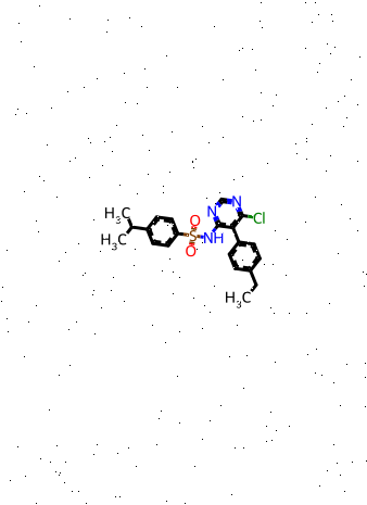 CCc1ccc(-c2c(Cl)ncnc2NS(=O)(=O)c2ccc(C(C)C)cc2)cc1